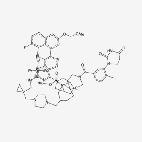 COCOc1cc(-c2ncc3c(N4CC5CCC(C4)N5C(=O)OC(C)(C)C)nc(NCC4(CN5CCN(CC6CCC7(CC6)CCN(C(=O)c6ccc(C)c(N8CCC(=O)NC8=O)c6)CC7)CC5)CC4)nc3c2F)c2c(C#C[Si](C(C)C)(C(C)C)C(C)C)c(F)ccc2c1